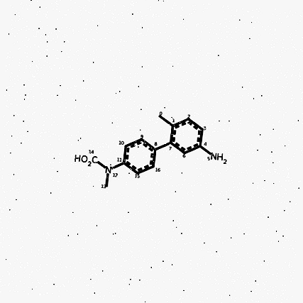 Cc1ccc(N)cc1-c1ccc(N(C)C(=O)O)cc1